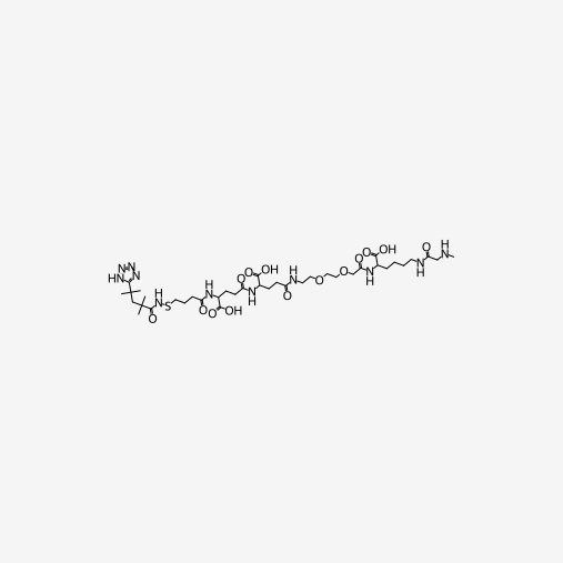 CNCC(=O)NCCCCC(NC(=O)COCCOCCNC(=O)CCC(NC(=O)CCC(NC(=O)CCCSNC(=O)C(C)(C)CC(C)(C)c1nnn[nH]1)C(=O)O)C(=O)O)C(=O)O